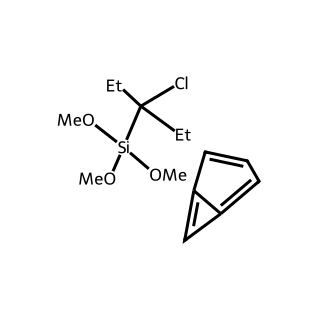 CCC(Cl)(CC)[Si](OC)(OC)OC.c1cc2cc-2c1